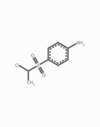 CC(Cl)S(=O)(=O)c1ccc(N)cc1